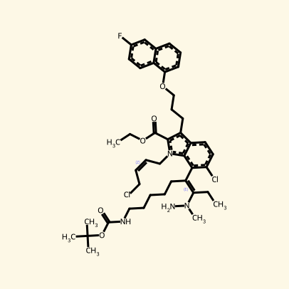 CCOC(=O)c1c(CCCOc2cccc3cc(F)ccc23)c2ccc(Cl)c(/C(CCCCCNC(=O)OC(C)(C)C)=C(\CC)N(C)N)c2n1C/C=C\CCl